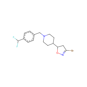 FC(F)c1ccc(CN2CCC(C3CC(Br)=NO3)CC2)cc1